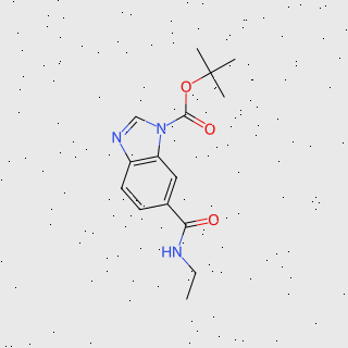 CCNC(=O)c1ccc2ncn(C(=O)OC(C)(C)C)c2c1